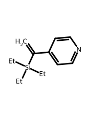 C=C(c1ccncc1)[Si](CC)(CC)CC